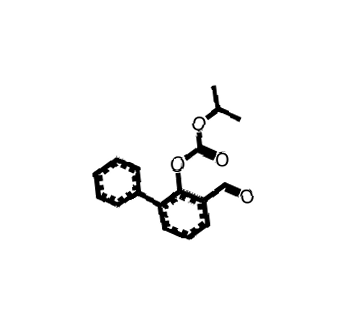 CC(C)OC(=O)Oc1c(C=O)cccc1-c1ccccc1